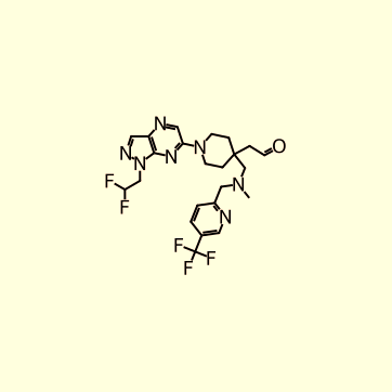 CN(Cc1ccc(C(F)(F)F)cn1)CC1(CC=O)CCN(c2cnc3cnn(CC(F)F)c3n2)CC1